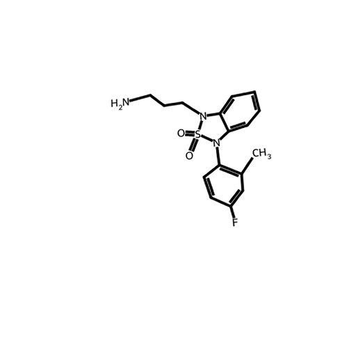 Cc1cc(F)ccc1N1c2ccccc2N(CCCN)S1(=O)=O